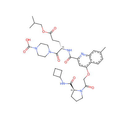 Cc1ccc2c(OCC(=O)N3CCC[C@H]3C(=O)NC3CCC3)cc(C(=O)N[C@@H](CCC(=O)OCC(C)C)C(=O)N3CCN(C(=O)O)CC3)nc2c1